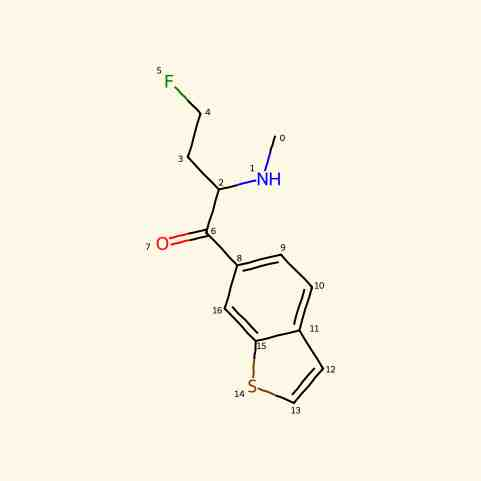 CNC(CCF)C(=O)c1ccc2ccsc2c1